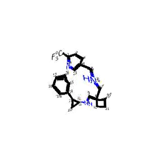 FC(F)(F)c1ccc(CNCC2(CN[C@H]3CC3c3ccccc3)CCC2)cn1